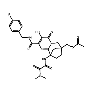 CC(=O)OCC12CCC(NC(=O)C(=O)N(C)C)(CC1)c1nc(C(=O)NCc3ccc(F)cc3)c(O)c(=O)n1C2